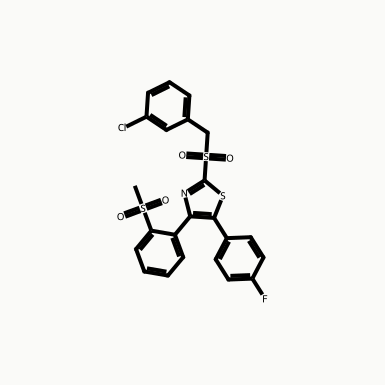 CS(=O)(=O)c1ccccc1-c1nc(S(=O)(=O)Cc2cccc(Cl)c2)sc1-c1ccc(F)cc1